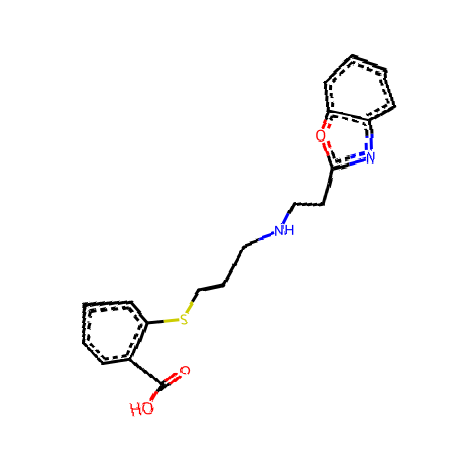 O=C(O)c1ccccc1SCCCNCCc1nc2ccccc2o1